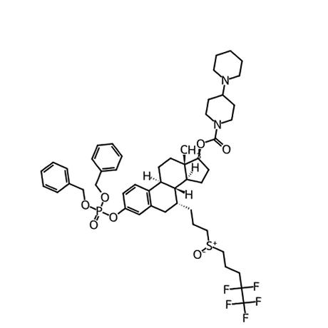 C[C@]12CC[C@@H]3c4ccc(OP(=O)(OCc5ccccc5)OCc5ccccc5)cc4C[C@@H](CCC[S+]([O-])CCCC(F)(F)C(F)(F)F)[C@H]3[C@@H]1CC[C@@H]2OC(=O)N1CCC(N2CCCCC2)CC1